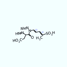 CNN(/C=C/C=C(\C)S(=O)(=O)O)C(=O)C(CC(=O)O)N=N